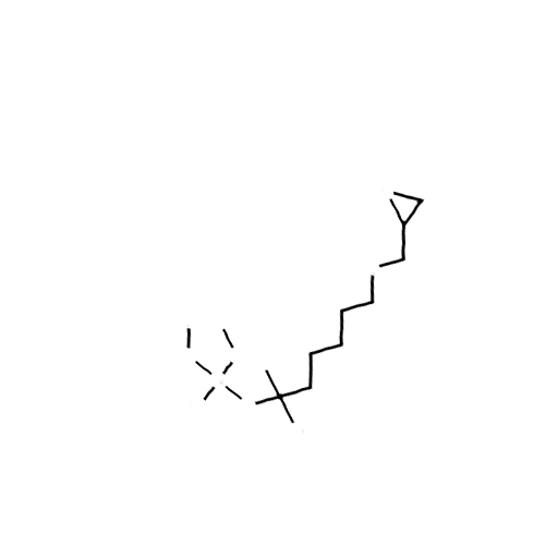 CCO[Si](CC)(OCC)OC(CC)(CC)CCCCCOCC1CO1